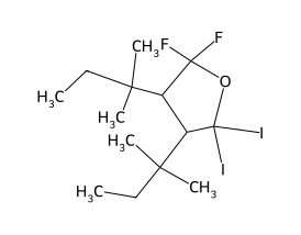 CCC(C)(C)C1C(C(C)(C)CC)C(I)(I)OC1(F)F